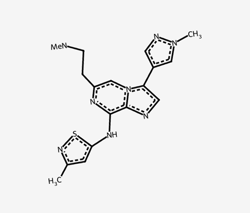 CNCCc1cn2c(-c3cnn(C)c3)cnc2c(Nc2cc(C)ns2)n1